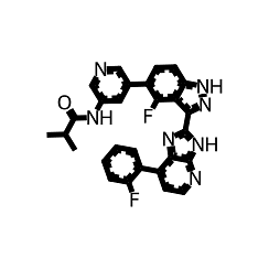 CC(C)C(=O)Nc1cncc(-c2ccc3[nH]nc(-c4nc5c(-c6ccccc6F)ccnc5[nH]4)c3c2F)c1